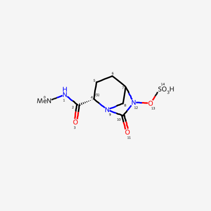 CNNC(=O)[C@@H]1CCC2CN1C(=O)N2OS(=O)(=O)O